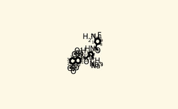 Cn1cc(NC(=O)c2ccc(F)c(N)c2)cc1C(=O)Nc1ccc2c(S(=O)(=O)[O-])cccc2c1S(=O)(=O)[O-].[Na+].[Na+]